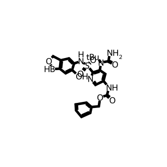 CC(C)(C)N(C(N)=O)c1cc(NC(=O)OCc2ccccc2)cnc1S(=O)(=O)Nc1cc2c(cc1O)BOC2